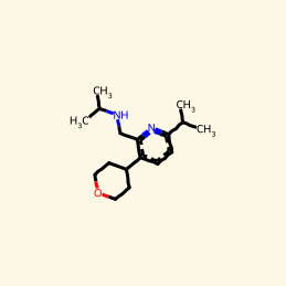 CC(C)NCc1nc(C(C)C)ccc1C1CCOCC1